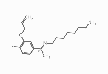 C=CCOc1cc([C@H](C)NCCCCCCCN)ccc1F